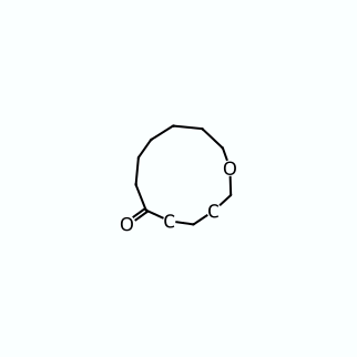 O=C1CCCCCCOCCCC1